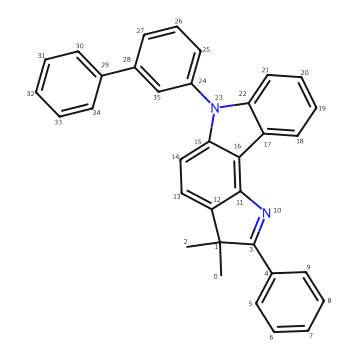 CC1(C)C(c2ccccc2)=Nc2c1ccc1c2c2ccccc2n1-c1cccc(-c2ccccc2)c1